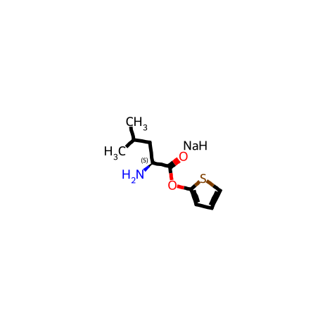 CC(C)C[C@H](N)C(=O)Oc1cccs1.[NaH]